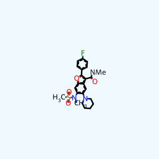 CNC(=O)c1c(-c2ccc(F)cc2)oc2cc(N(C)S(C)(=O)=O)c(N3CCCCC3)cc12